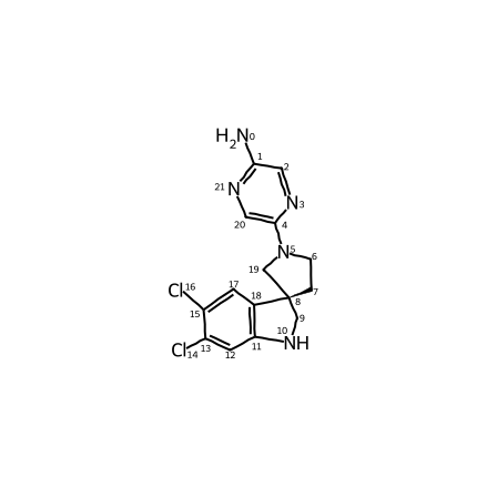 Nc1cnc(N2CC[C@]3(CNc4cc(Cl)c(Cl)cc43)C2)cn1